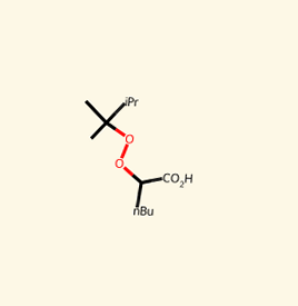 CCCCC(OOC(C)(C)C(C)C)C(=O)O